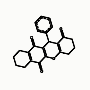 O=C1CCCC2=C1C(c1ccccc1)C1=C(O2)C(=O)C2=C(CCCC2)C1=O